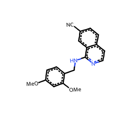 COc1ccc(CNc2nccc3ccc(C#N)cc23)c(OC)c1